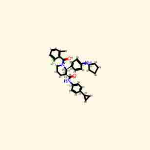 Cc1cccc(F)c1C(=O)N1CCC[C@H](C(=O)Nc2ccc(C3CC3)cc2)[C@@H]1c1ccc(NC2CCCC2)cc1